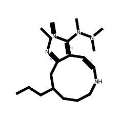 C=N/C(=C1/C=C\NCCCC(CCC)C/C1=N/CC)N(C)N(C)C